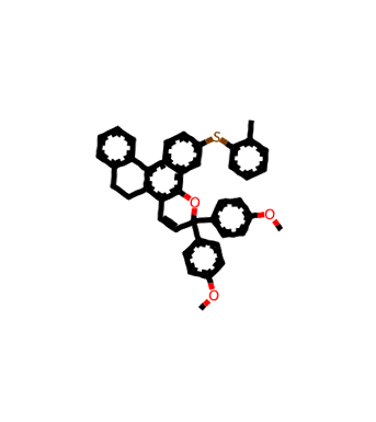 COc1ccc(C2(c3ccc(OC)cc3)C=Cc3c4c(c5ccc(Sc6ccccc6C)cc5c3O2)-c2ccccc2CC4)cc1